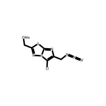 COCc1nn2c(Cl)c(CN=[N+]=[N-])nc2s1